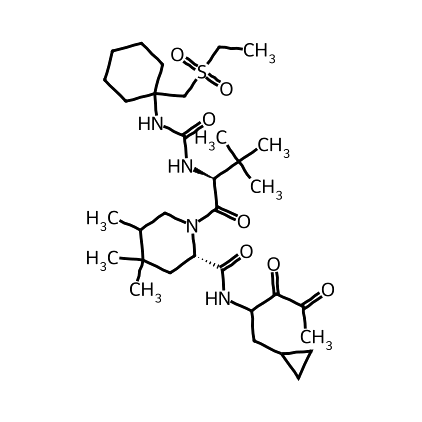 CCS(=O)(=O)CC1(NC(=O)N[C@H](C(=O)N2CC(C)C(C)(C)C[C@H]2C(=O)NC(CC2CC2)C(=O)C(C)=O)C(C)(C)C)CCCCC1